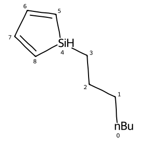 CCCCCCC[SiH]1C=CC=C1